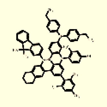 BCc1ccc(N(c2ccc(CC)cc2)c2ccc3c(c2)N(c2ccc(S)cc2C)c2cc(-c4c(C)cc(C)cc4C)cc(-c4cc5c(cc4Nc4ccc6c(c4)C(C)(C)c4ccccc4-6)CCCC5)c2B3)cc1